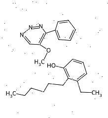 CCCCCCc1c(O)cccc1CC.COc1cnnnc1-c1ccccc1